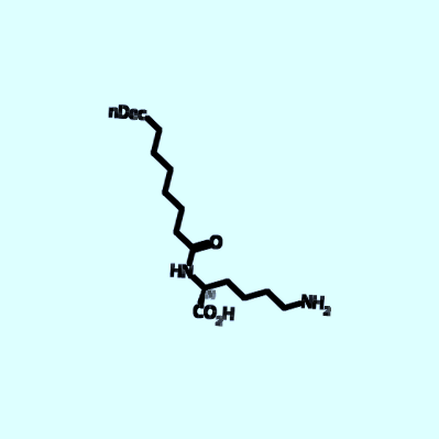 CCCCCCCCCCCCCCCCC(=O)N[C@@H](CCCCN)C(=O)O